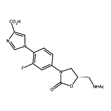 CC(=O)NC[C@H]1CN(c2ccc(-n3cnc(C(=O)O)c3)c(F)c2)C(=O)O1